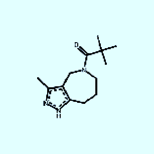 Cc1n[nH]c2c1CN(C(=O)C(C)(C)C)CCC2